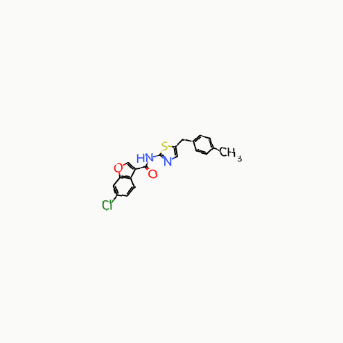 Cc1ccc(Cc2cnc(NC(=O)c3coc4cc(Cl)ccc34)s2)cc1